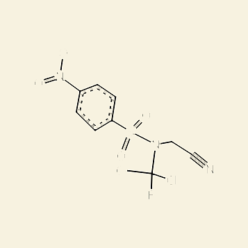 N#CCN(C(F)(Cl)Cl)S(=O)(=O)c1ccc([N+](=O)[O-])cc1